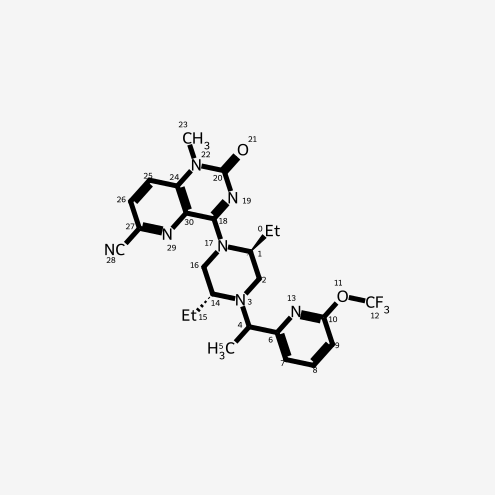 CC[C@H]1CN(C(C)c2cccc(OC(F)(F)F)n2)[C@H](CC)CN1c1nc(=O)n(C)c2ccc(C#N)nc12